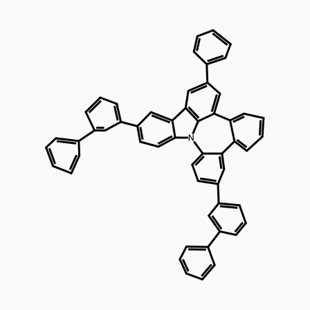 c1ccc(-c2cccc(-c3ccc4c(c3)-c3ccccc3-c3cc(-c5ccccc5)cc5c6cc(-c7cccc(-c8ccccc8)c7)ccc6n-4c35)c2)cc1